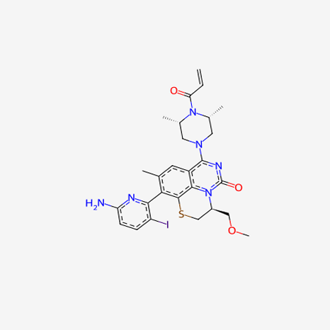 C=CC(=O)N1[C@H](C)CN(c2nc(=O)n3c4c(c(-c5nc(N)ccc5I)c(C)cc24)SC[C@@H]3COC)C[C@@H]1C